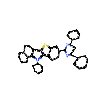 c1ccc(-c2cc(-c3ccccc3)nc(-c3ccc4c(c3)sc3c5ccc6ccccc6c5n(-c5ccccc5)c43)n2)cc1